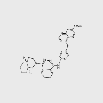 COc1cnc2c(Oc3ccc(Nc4nnc(N5CC[C@H]6CCCC[C@@H]6C5)c5ccccc45)cc3)ccnc2c1